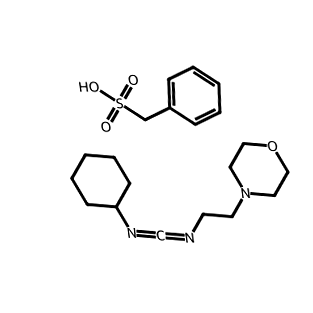 C(=NCCN1CCOCC1)=NC1CCCCC1.O=S(=O)(O)Cc1ccccc1